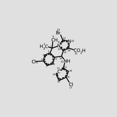 CC1(C)c2cc(Cl)ccc2C(Nc2cccc(Cl)c2)c2c(C(=O)O)nc(Br)n21